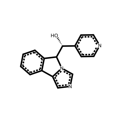 O[C@H](c1ccncc1)C1c2ccccc2-c2cncn21